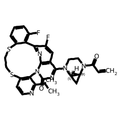 C=CC(=O)N1CCN(c2nc(=O)n3c4nc(c(F)cc24)-c2c(F)cccc2SCCSc2ccnc(C(C)C)c2-3)[C@H]2C[C@H]21